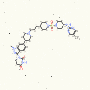 Cn1nc(N2CCC(=O)NC2=O)c2ccc(C3CCN(CCCC4CCN(S(=O)(=O)N5CCC(Nc6ncc(C(F)(F)F)cn6)CC5)CC4)CC3)cc21